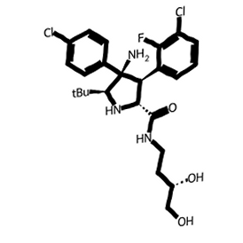 CC(C)(C)[C@@H]1N[C@@H](C(=O)NCC[C@H](O)CO)[C@H](c2cccc(Cl)c2F)[C@@]1(N)c1ccc(Cl)cc1